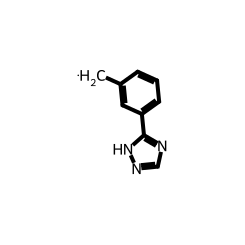 [CH2]c1cccc(-c2ncn[nH]2)c1